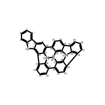 c1ccc2c(c1)sc1c2cc2c3c1c1cccc4c1n3B1c3c-4ccc4c5cccc6c7ccc-2c1c7n(c34)c56